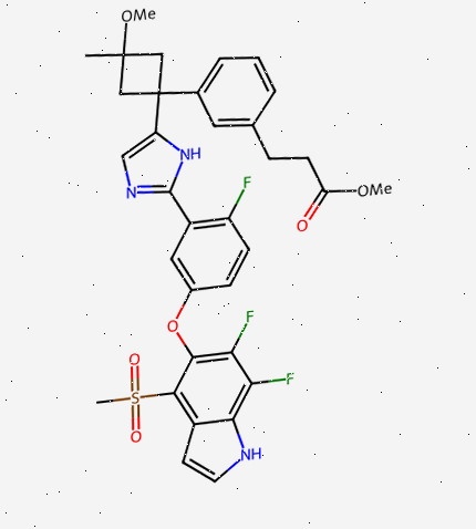 COC(=O)CCc1cccc(C2(c3cnc(-c4cc(Oc5c(F)c(F)c6[nH]ccc6c5S(C)(=O)=O)ccc4F)[nH]3)CC(C)(OC)C2)c1